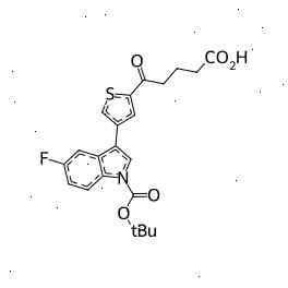 CC(C)(C)OC(=O)n1cc(-c2csc(C(=O)CCCC(=O)O)c2)c2cc(F)ccc21